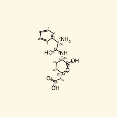 N[C@@H](c1ccccc1)C(O)N[C@H]1CC[C@@H](CC(=O)O)OB1O